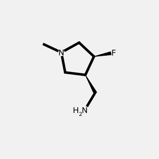 CN1C[C@H](CN)[C@H](F)C1